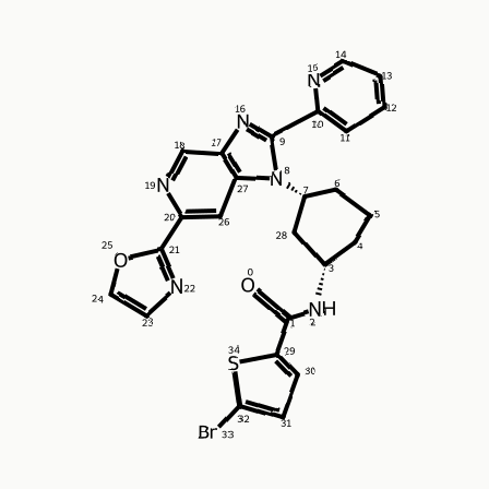 O=C(N[C@H]1CCC[C@@H](n2c(-c3ccccn3)nc3cnc(-c4ncco4)cc32)C1)c1ccc(Br)s1